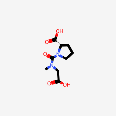 CN(CC(=O)O)C(=O)N1CCC[C@H]1C(=O)O